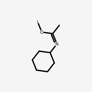 C/C(=N/C1CCCCC1)OI